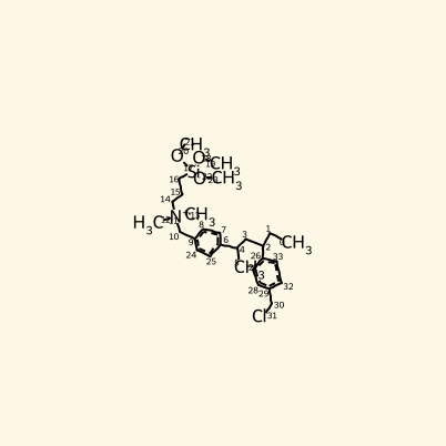 CCC(CC(C)c1ccc(C[N+](C)(C)CCC[Si](OC)(OC)OC)cc1)c1ccc(CCl)cc1